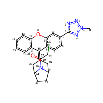 Cn1nnc(-c2ccc3c(c2)Oc2ccccc2C3=C2CC3CCC(C2)N3C(=O)CF)n1